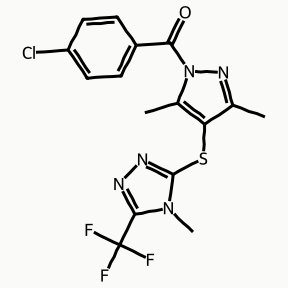 Cc1nn(C(=O)c2ccc(Cl)cc2)c(C)c1Sc1nnc(C(F)(F)F)n1C